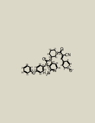 N#CC(=CC1=CC[S+]([O-])C=C1)C(=O)N1CCCC(n2c(=O)n(-c3ccc(Oc4ccccc4)cc3)c3c(N)nccc32)C1